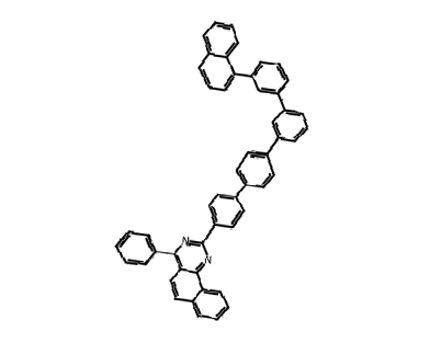 c1ccc(-c2nc(-c3ccc(-c4ccc(-c5cccc(-c6cccc(-c7cccc8ccccc78)c6)c5)cc4)cc3)nc3c2ccc2ccccc23)cc1